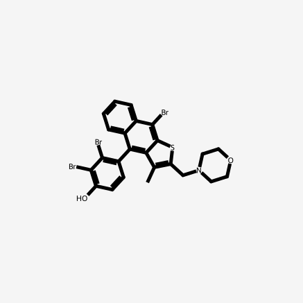 Cc1c(CN2CCOCC2)sc2c(Br)c3ccccc3c(-c3ccc(O)c(Br)c3Br)c12